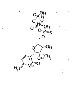 C=C1C=CN([C@@H]2O[C@H](CO[P@@](O)(=S)OP(=O)(O)OP(=O)(O)O)[C@@H](O)[C@@]2(C)O)C(=O)N1